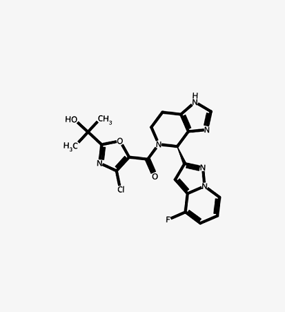 CC(C)(O)c1nc(Cl)c(C(=O)N2CCc3[nH]cnc3[C@H]2c2cc3c(F)cccn3n2)o1